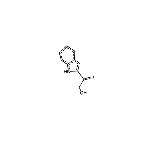 O=C(CO)c1cc2ccccc2[nH]1